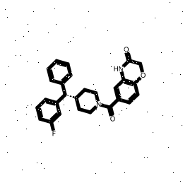 O=C1COc2ccc(C(=O)N3CCC([C@@H](c4ccccc4)c4cccc(F)c4)CC3)cc2N1